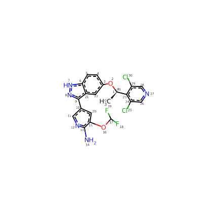 C[C@@H](Oc1ccc2[nH]nc(-c3cnc(N)c(OC(F)F)c3)c2c1)c1c(Cl)cncc1Cl